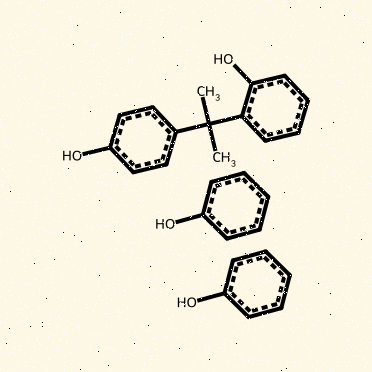 CC(C)(c1ccc(O)cc1)c1ccccc1O.Oc1ccccc1.Oc1ccccc1